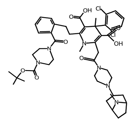 CN1C(CCc2ccccc2C(=O)N2CCN(C(=O)OC(C)(C)C)CC2)=C(C(=O)O)C(C)(c2c(Cl)cccc2Cl)C(C(=O)O)=C1CC(=O)N1CCN(C2CC3CCC(C2)N3C)CC1